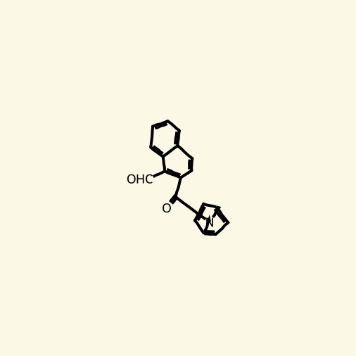 O=Cc1c(C(=O)N2Cc3ccc(cc3)C2)ccc2ccccc12